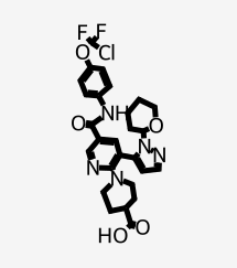 O=C(Nc1ccc(OC(F)(F)Cl)cc1)c1cnc(N2CCC(C(=O)O)CC2)c(-c2ccnn2C2CCCCO2)c1